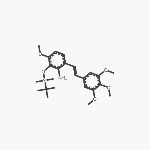 COc1cc(C=Cc2ccc(OC)c(O[Si](C)(C)C(C)(C)C)c2N)cc(OC)c1OC